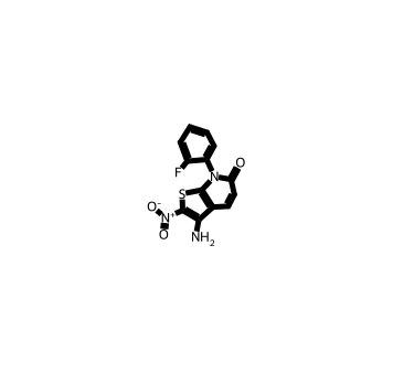 Nc1c([N+](=O)[O-])sc2c1ccc(=O)n2-c1ccccc1F